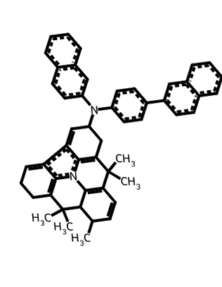 CC1C=CC2=C3C1C(C)(C)C1=c4c(c5c(n43)=C(CC(N(c3ccc(-c4ccc6ccccc6c4)cc3)c3ccc4ccccc4c3)C=5)C2(C)C)=CCC1